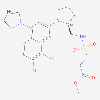 COC(=O)CCS(=O)(=O)NC[C@@H]1CCCN1c1cc(-n2ccnc2)c2ccc(Cl)c(Cl)c2n1